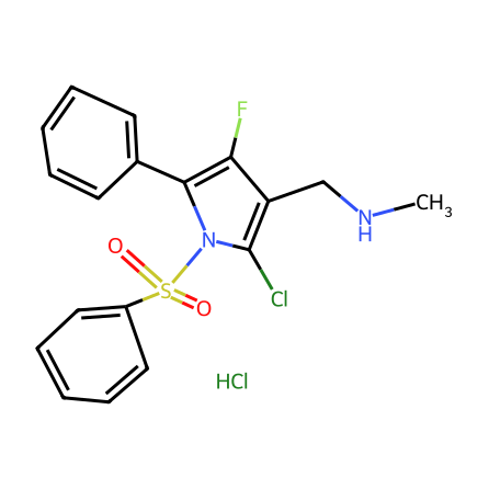 CNCc1c(F)c(-c2ccccc2)n(S(=O)(=O)c2ccccc2)c1Cl.Cl